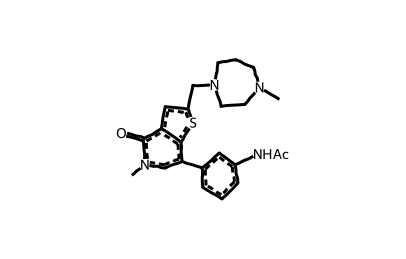 CC(=O)Nc1cccc(-c2cn(C)c(=O)c3cc(CN4CCCN(C)CC4)sc23)c1